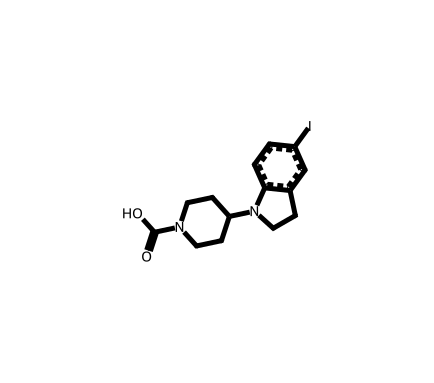 O=C(O)N1CCC(N2CCc3cc(I)ccc32)CC1